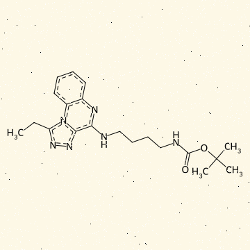 CCc1nnc2c(NCCCCNC(=O)OC(C)(C)C)nc3ccccc3n12